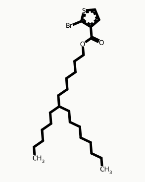 CCCCCCCCC(CCCCCC)CCCCCCOC(=O)c1ccsc1Br